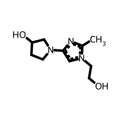 Cc1nc(N2CCC(O)C2)cn1CCO